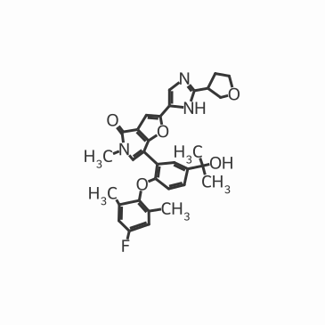 Cc1cc(F)cc(C)c1Oc1ccc(C(C)(C)O)cc1-c1cn(C)c(=O)c2cc(-c3cnc(C4CCOC4)[nH]3)oc12